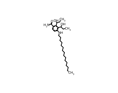 CCCCCCCCCCCCCCCCNc1ccc(C(N)=O)c(C(O)CC)c1C(O)CC